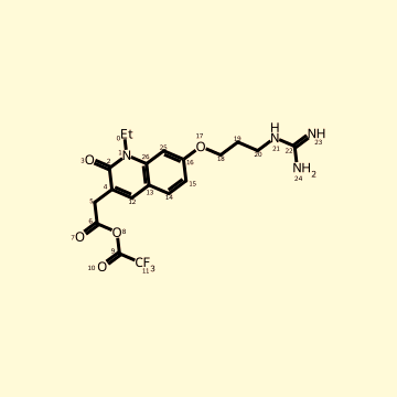 CCn1c(=O)c(CC(=O)OC(=O)C(F)(F)F)cc2ccc(OCCCNC(=N)N)cc21